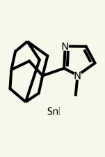 Cn1ccnc1C12CC3CC(CC(C3)C1)C2.[Sn]